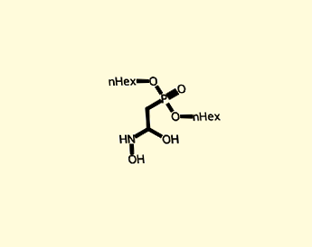 CCCCCCOP(=O)(CC(O)NO)OCCCCCC